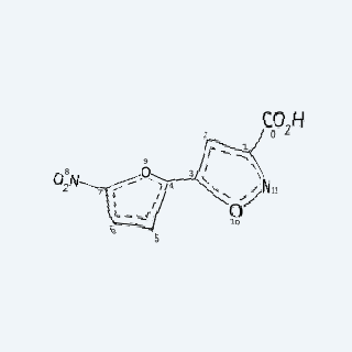 O=C(O)c1cc(-c2ccc([N+](=O)[O-])o2)on1